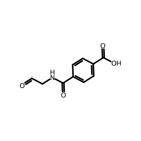 O=[C]CNC(=O)c1ccc(C(=O)O)cc1